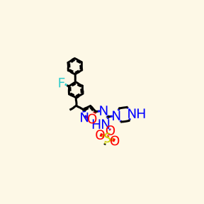 CC(c1ccc(-c2ccccc2)c(F)c1)c1cc(N=C(NOS(C)(=O)=O)N2CCNCC2)on1